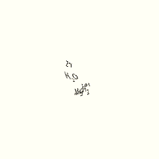 O.[LiH].[MgH2].[Zn]